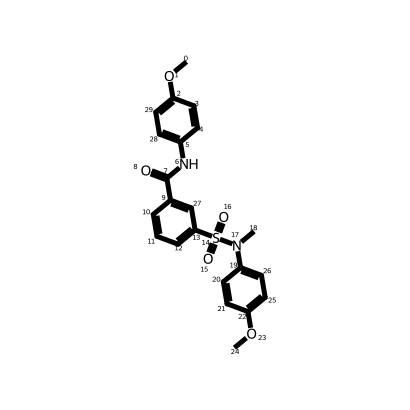 COc1ccc(NC(=O)c2cccc(S(=O)(=O)N(C)c3ccc(OC)cc3)c2)cc1